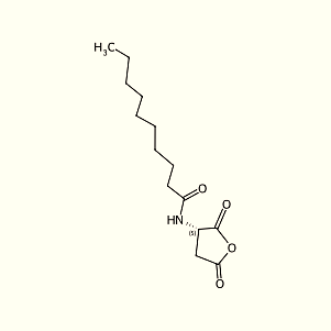 CCCCCCCCCC(=O)N[C@H]1CC(=O)OC1=O